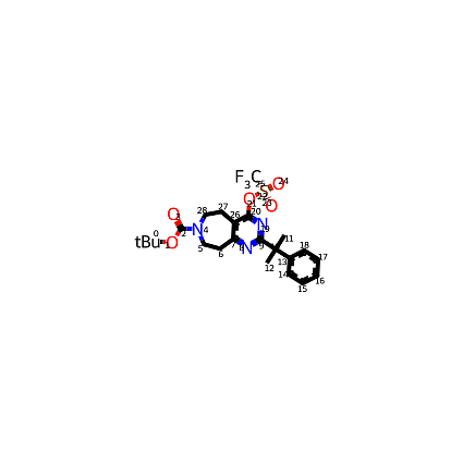 CC(C)(C)OC(=O)N1CCc2nc(C(C)(C)c3ccccc3)nc(OS(=O)(=O)C(F)(F)F)c2CC1